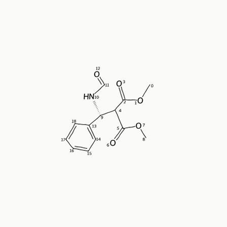 COC(=O)C(C(=O)OC)[C@@H](NC=O)c1ccccc1